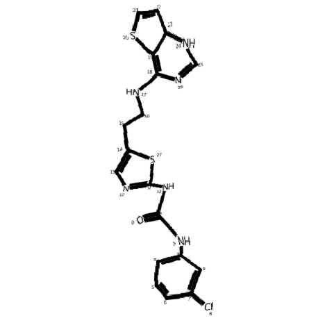 O=C(Nc1cccc(Cl)c1)Nc1ncc(CCNC2=C3SC=CC3NC=N2)s1